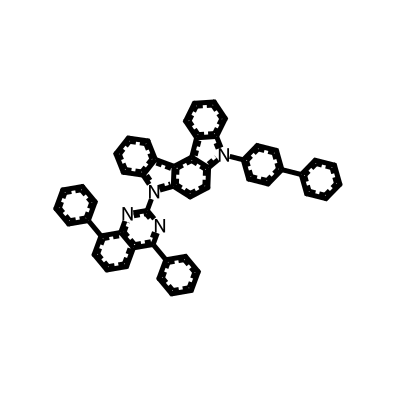 c1ccc(-c2ccc(-n3c4ccccc4c4c5c6ccccc6n(-c6nc(-c7ccccc7)c7cccc(-c8ccccc8)c7n6)c5ccc43)cc2)cc1